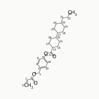 C=CC(=O)OCc1ccc(OC(=O)C2CCC(C3CCC(CCC)CC3)CC2)cc1